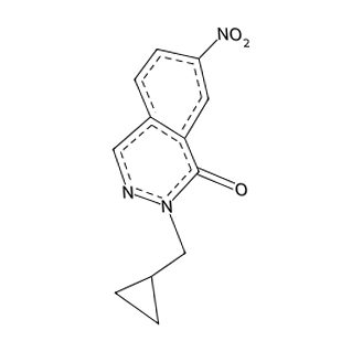 O=c1c2cc([N+](=O)[O-])ccc2cnn1CC1CC1